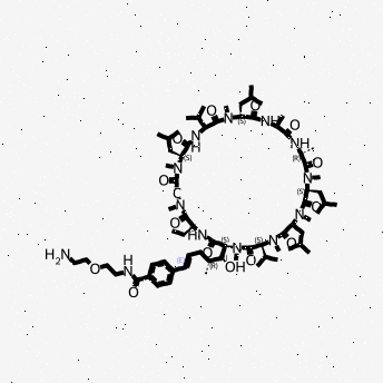 CC[C@@H]1NC(=O)[C@H]([C@H](O)[C@H](C)C/C=C/c2ccc(C(=O)NCCOCCN)cc2)N(C)C(=O)[C@H](C(C)C)N(C)C(=O)C(CC(C)C)N(C)C(=O)[C@H](CC(C)C)N(C)C(=O)[C@@H](C)NC(=O)C(C)NC(=O)[C@H](CC(C)C)N(C)C(=O)C(C(C)C)NC(=O)[C@H](CC(C)C)N(C)C(=O)CN(C)C1=O